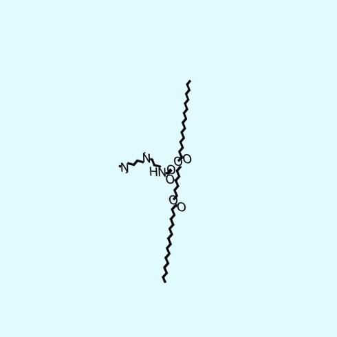 CCCCCCCCCCCCCCCCC(=O)OCCCC(CCCOC(=O)CCCCCCCCCCCCCCCC)OC(=O)NCCCN(C)CCCCN(C)C